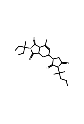 CCCC(C)(C)N1C(=O)CC(C2C=C(C)C3C(=O)N(C(C)(CC)CC)C(=O)C3C2)C1=O